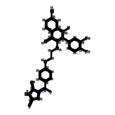 C=c1[nH]c(=O)/c(=C(/C)c2ccc(OCCOc3c(-c4ccc(F)c(F)c4)n(C)c4cc(Cl)ccc4c3=O)cc2)s1